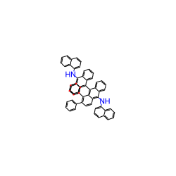 c1ccc(-c2ccc3c(Nc4cccc5ccccc45)c4ccccc4c(-c4c5ccccc5c(Nc5cccc6ccccc56)c5ccccc45)c3c2-c2ccccc2)cc1